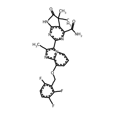 Cc1nc2c(OCc3c(F)ccc(F)c3F)cccn2c1-c1nc2c(c(C(N)=O)n1)C(C)(C)C(=O)N2